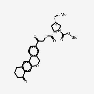 COC[C@H]1C[C@@H](C(=O)OCC(=O)c2ccc3c(c2)COc2cc4c(cc2-3)CCCC4=O)N(C(=O)OC(C)(C)C)C1